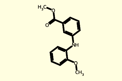 COC(=O)c1cccc(Nc2ccccc2OC)c1